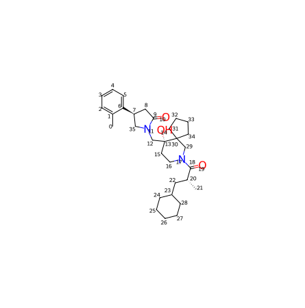 Cc1ccccc1[C@H]1CC(=O)N(C[C@]2(O)CCN(C(=O)[C@H](C)CC3CCCCC3)CC23CCCC3)C1